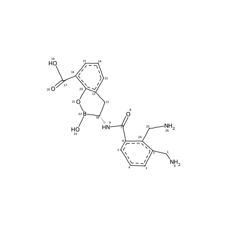 NCc1cccc(C(=O)N[C@H]2Cc3cccc(C(=O)O)c3OB2O)c1CN